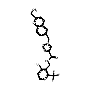 CCc1ccc2cc(Cn3cc(C(=O)NCc4c(C)ccnc4C(F)(F)F)nn3)ccc2n1